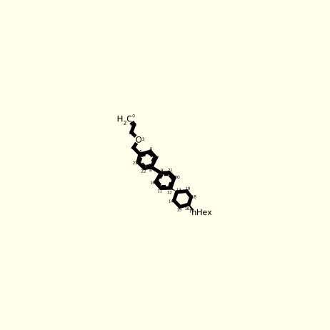 C=CCOCc1ccc(-c2ccc([C@H]3CC[C@H](CCCCCC)CC3)cc2)cc1